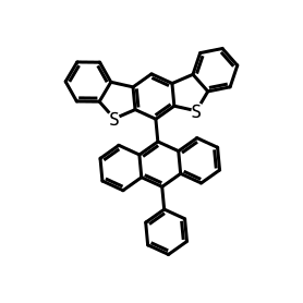 c1ccc(-c2c3ccccc3c(-c3c4sc5ccccc5c4cc4c3sc3ccccc34)c3ccccc23)cc1